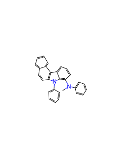 CN(c1ccccc1)c1cccc2c3c4ccccc4ccc3n(-c3ccccc3)c12